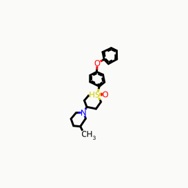 CC1CCCN(C2CC[SH](=O)(c3ccc(Oc4ccccc4)cc3)CC2)C1